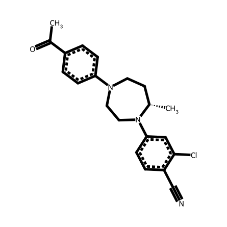 CC(=O)c1ccc(N2CC[C@H](C)N(c3ccc(C#N)c(Cl)c3)CC2)cc1